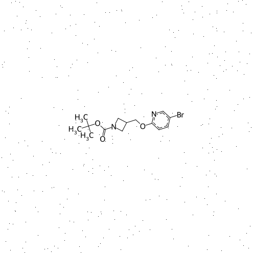 CC(C)(C)OC(=O)N1CC(COc2ccc(Br)cn2)C1